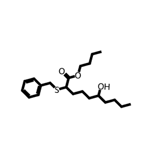 CCCCOC(=O)C(CCCC(O)CCCC)SCc1ccccc1